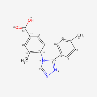 Cc1ccc(-c2nncn2-c2ccc(C(=O)O)cc2C)cc1